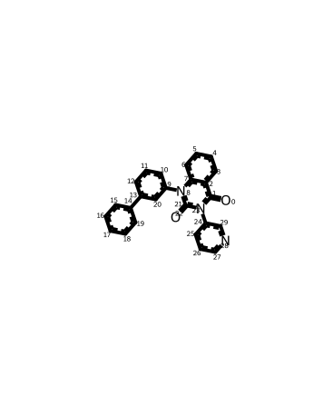 O=c1c2ccccc2n(-c2cccc(-c3ccccc3)c2)c(=O)n1-c1cccnc1